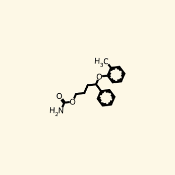 Cc1ccccc1OC(CCCOC(N)=O)c1ccccc1